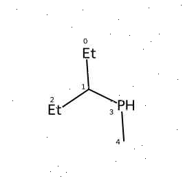 CCC(CC)PC